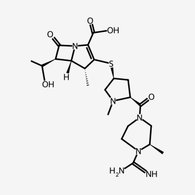 CC(O)[C@H]1C(=O)N2C(C(=O)O)=C(S[C@H]3C[C@@H](C(=O)N4CCN(C(=N)N)[C@H](C)C4)N(C)C3)[C@H](C)[C@H]12